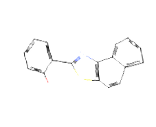 Oc1ccccc1-c1nc2c(ccc3ccccc32)s1